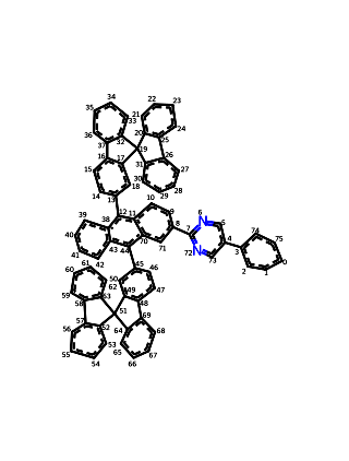 c1ccc(-c2cnc(-c3ccc4c(-c5ccc6c(c5)C5(c7ccccc7-c7ccccc75)c5ccccc5-6)c5ccccc5c(-c5ccc6c(c5)C5(c7ccccc7-c7ccccc75)c5ccccc5-6)c4c3)nc2)cc1